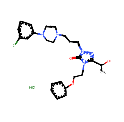 C[C@H](O)c1nn(CCCN2CCN(c3cccc(Cl)c3)CC2)c(=O)n1CCOc1ccccc1.Cl